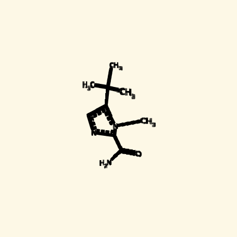 Cn1c(C(C)(C)C)cnc1C(N)=O